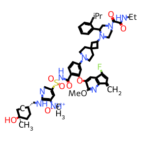 C=C1C=C(F)c2cc(Oc3cc(N4CCC5(CC4)CC(N4CCN(C(=O)C(=O)NCC)CC4c4ccccc4C(C)C)C5)ccc3C(=O)NS(=O)(=O)c3cnc(NC[C@H]4CC[C@](C)(O)CC4)c([NH+](C)[O-])c3)c(OC)nc21